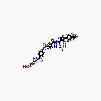 C/C(=N\NC(=O)c1ccc(C(=O)NCc2ccc(C(=O)NCCOCCO)cc2)s1)c1csc(-c2ccc(C(F)(F)F)cc2)c1O